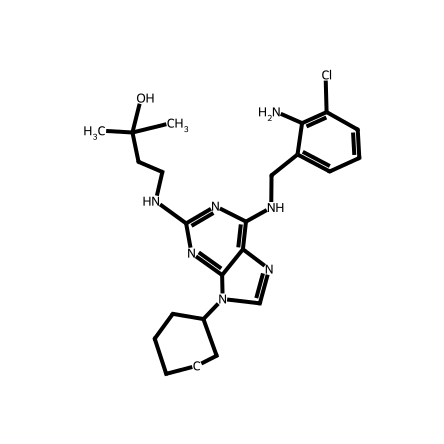 CC(C)(O)CCNc1nc(NCc2cccc(Cl)c2N)c2ncn(C3CCCCC3)c2n1